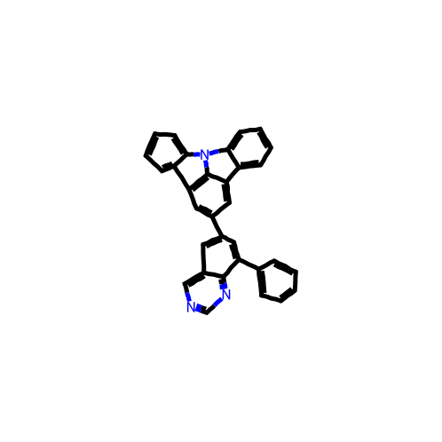 c1ccc(-c2cc(-c3cc4c5ccccc5n5c6ccccc6c(c3)c45)cc3cncnc23)cc1